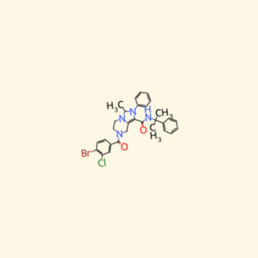 CC1N2CCN(C(=O)c3ccc(Br)c(Cl)c3)CC2=C(C(=O)NC(C)(C)c2ccccc2)N1c1ccccc1